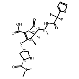 C[C@@H](NC(=O)C(F)(F)c1cccs1)[C@H]1C(=O)N2C(C(=O)O)=C(S[C@@H]3CN[C@H](C(=O)N(C)C)C3)[C@H](C)[C@H]12